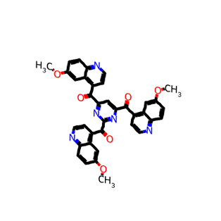 COc1ccc2nccc(C(=O)c3cc(C(=O)c4ccnc5ccc(OC)cc45)nc(C(=O)c4ccnc5ccc(OC)cc45)n3)c2c1